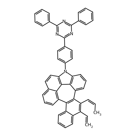 C=Cc1c(/C=C\C)c2c(c3ccccc13)-c1cccc3ccc4c(c13)c1c-2cccc1n4-c1ccc(-c2nc(-c3ccccc3)nc(-c3ccccc3)n2)cc1